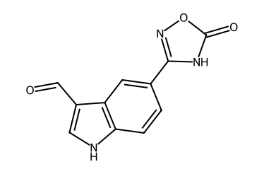 O=Cc1c[nH]c2ccc(-c3noc(=O)[nH]3)cc12